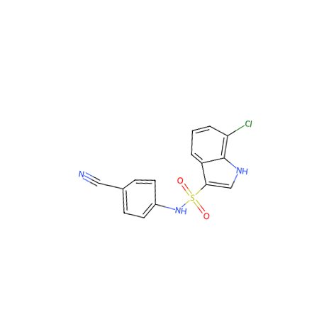 N#Cc1ccc(NS(=O)(=O)c2c[nH]c3c(Cl)cccc23)cc1